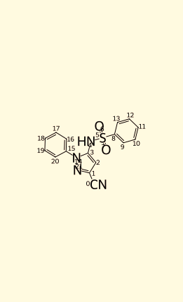 N#Cc1cc(NS(=O)(=O)c2ccccc2)n(-c2ccccc2)n1